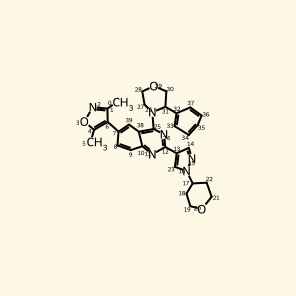 Cc1noc(C)c1-c1ccc2nc(-c3cnn(C4CCOCC4)c3)nc(N3CCOCC3c3ccccc3)c2c1